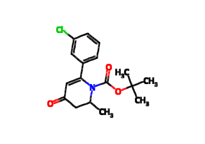 CC1CC(=O)C=C(c2cccc(Cl)c2)N1C(=O)OC(C)(C)C